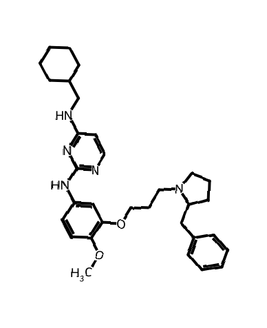 COc1ccc(Nc2nccc(NCC3CCCCC3)n2)cc1OCCCN1CCCC1Cc1ccccc1